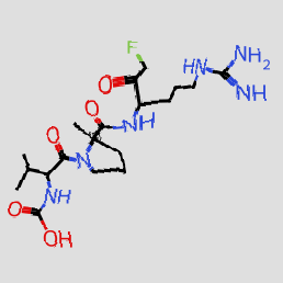 CC(C)C(NC(=O)O)C(=O)N1CCC[C@@]1(C)C(=O)NC(CCCNC(=N)N)C(=O)CF